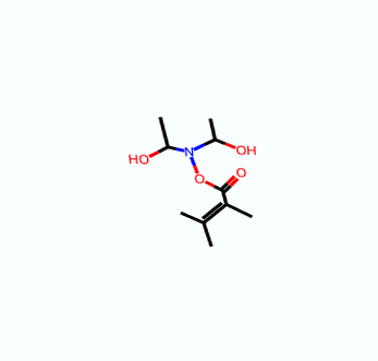 CC(C)=C(C)C(=O)ON(C(C)O)C(C)O